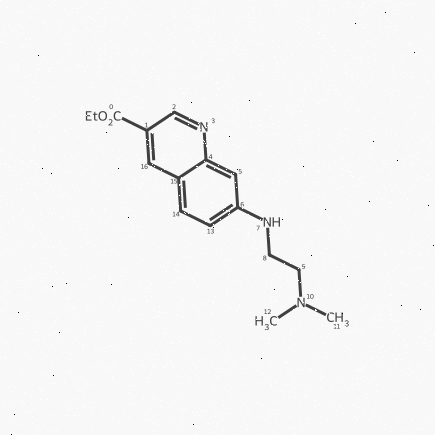 CCOC(=O)c1cnc2cc(NCCN(C)C)ccc2c1